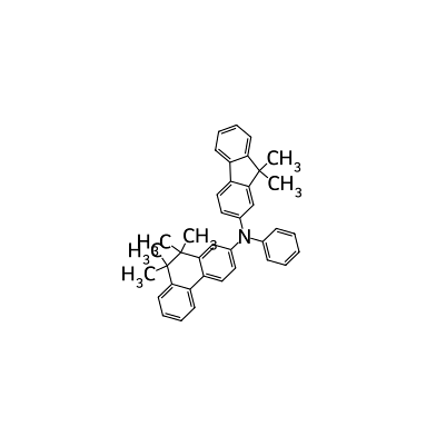 CC1(C)c2ccccc2-c2ccc(N(c3ccccc3)c3ccc4c(c3)C(C)(C)C(C)(C)c3ccccc3-4)cc21